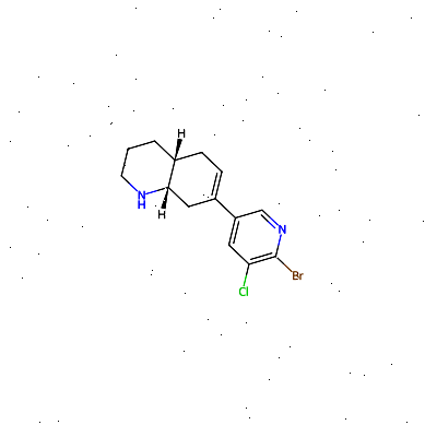 Clc1cc(C2=CC[C@H]3CCCN[C@H]3C2)cnc1Br